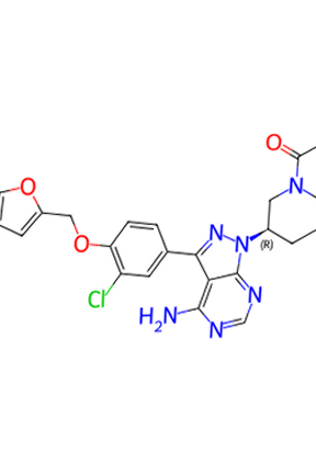 C=CC(=O)N1CCC[C@@H](n2nc(-c3ccc(OCc4ccco4)c(Cl)c3)c3c(N)ncnc32)C1